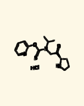 CC(C)N(CC(=O)[C@H]1CCCN1)C(=S)Oc1ccccn1.Cl